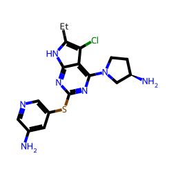 CCc1[nH]c2nc(Sc3cncc(N)c3)nc(N3CC[C@@H](N)C3)c2c1Cl